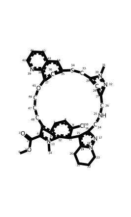 COC(=O)c1c2c3ccc(Cl)c(c3n1C)-c1c(nn3c1CCCC3)CNCc1cc(n(C)n1)CSc1cc(c3ncccc3c1)OCCC2